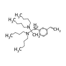 C=Cc1cccc([SiH2]C(C)(N(CCCC)CCCC)N(CCCC)CCCC)c1